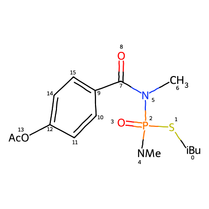 CCC(C)SP(=O)(NC)N(C)C(=O)c1ccc(OC(C)=O)cc1